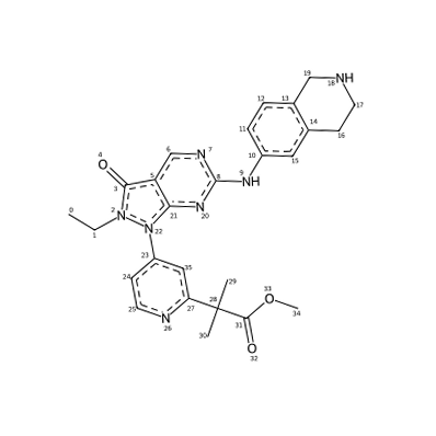 CCn1c(=O)c2cnc(Nc3ccc4c(c3)CCNC4)nc2n1-c1ccnc(C(C)(C)C(=O)OC)c1